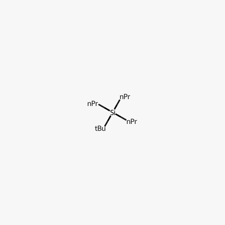 CCC[Si](CCC)(CCC)C(C)(C)C